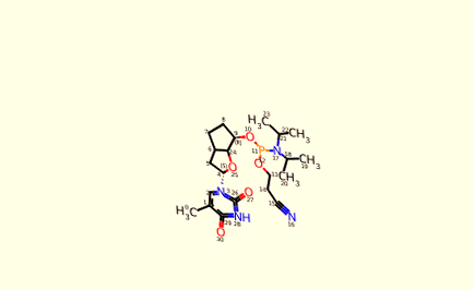 Cc1cn([C@@H]2CC3CC[C@@H](OP(OCCC#N)N(C(C)C)C(C)C)C3O2)c(=O)[nH]c1=O